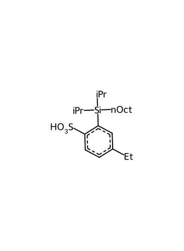 CCCCCCCC[Si](c1cc(CC)ccc1S(=O)(=O)O)(C(C)C)C(C)C